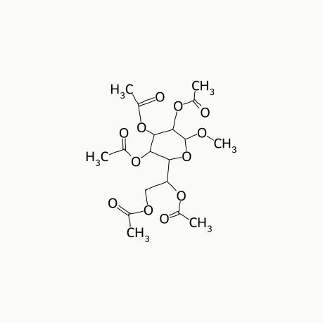 COC1OC(C(COC(C)=O)OC(C)=O)C(OC(C)=O)C(OC(C)=O)C1OC(C)=O